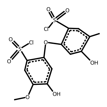 COc1cc(S(=O)(=O)Cl)c(Oc2cc(O)c(C)cc2S(=O)(=O)Cl)cc1O